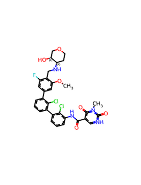 COc1cc(-c2cccc(-c3cccc(NC(=O)c4c[nH]c(=O)n(C)c4=O)c3Cl)c2Cl)cc(F)c1CN[C@@H]1CCOC[C@@H]1O